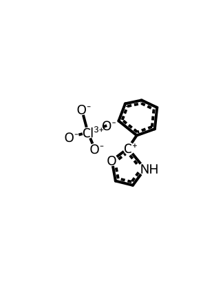 [O-][Cl+3]([O-])([O-])[O-].c1ccc(-[c+]2[nH]cco2)cc1